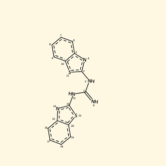 N=C(Nc1nc2ccccc2s1)Nc1nc2ccccc2s1